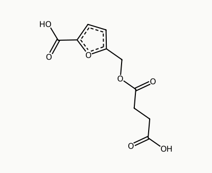 O=C(O)CCC(=O)OCc1ccc(C(=O)O)o1